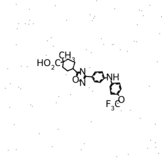 CC1(C(=O)O)CCC(c2nc(-c3ccc(Nc4ccc(OC(F)(F)F)cc4)cc3)no2)CC1